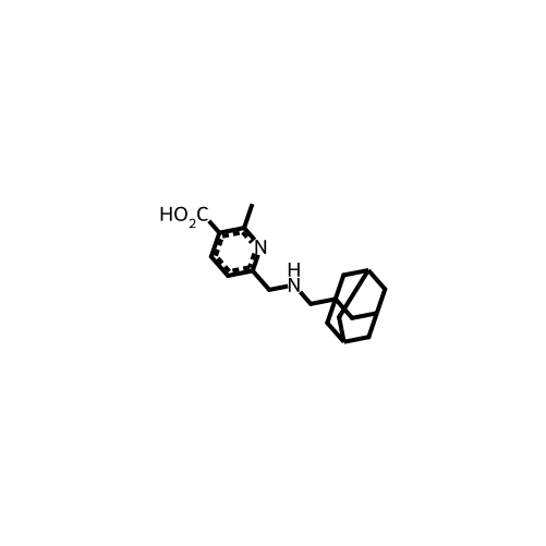 Cc1nc(CNCC23CC4CC(CC(C4)C2)C3)ccc1C(=O)O